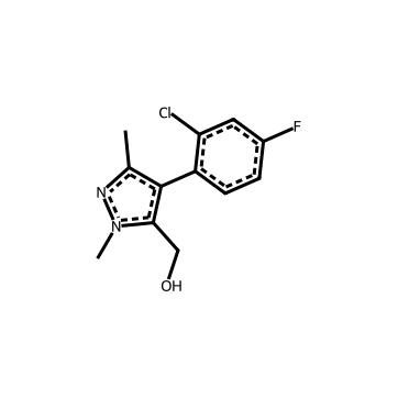 Cc1nn(C)c(CO)c1-c1ccc(F)cc1Cl